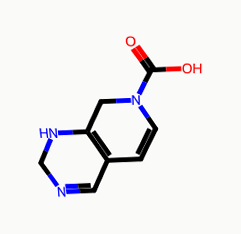 O=C(O)N1C=CC2=C(C1)NCN=C2